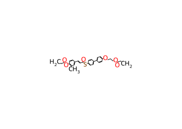 C=CC(=O)OCCCOc1ccc(-c2ccc(SC(=O)/C=C/c3ccc(OC(=O)C=C)c(C)c3)cc2)cc1